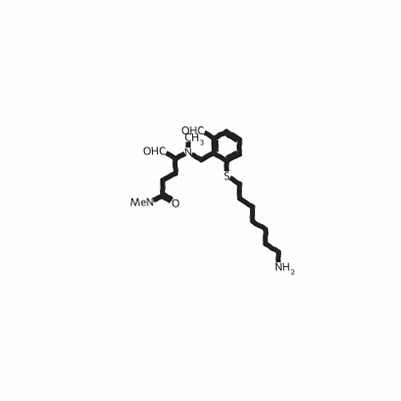 CNC(=O)CCC(C=O)N(C)Cc1c(C=O)cccc1SCCCCCCCN